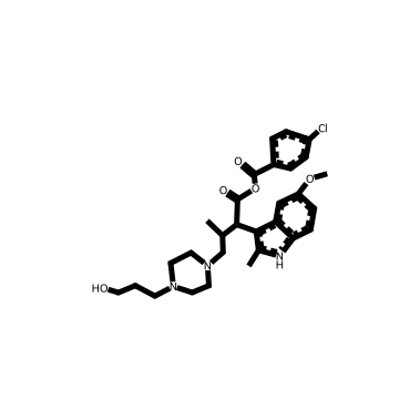 COc1ccc2[nH]c(C)c(C(C(=O)OC(=O)c3ccc(Cl)cc3)C(C)CN3CCN(CCCO)CC3)c2c1